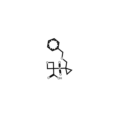 O=C(O)C1(S(=O)(=O)C2(COCc3ccccc3)CC2)COC1